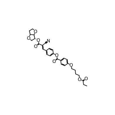 CCC(=O)OCCCCOc1ccc(C(=O)Oc2ccc(/C=C(\C#N)C(=O)O[C@@H]3COC4CCOC43)cc2)cc1